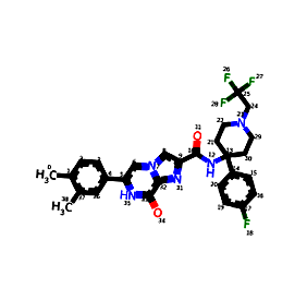 Cc1ccc(-c2cn3cc(C(=O)NC4(c5ccc(F)cc5)CCN(CC(F)(F)F)CC4)nc3c(=O)[nH]2)cc1C